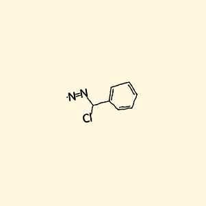 [N]=NC(Cl)c1ccccc1